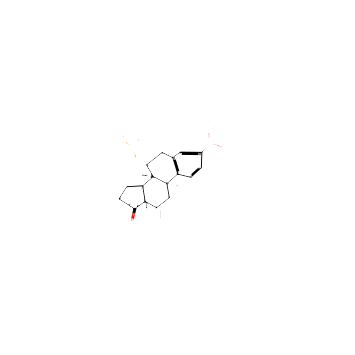 C[C@]12CC[C@@H]3c4ccc(B(O)O)cc4C[C@@H](C[S+]([O-])F)[C@H]3[C@@H]1CCC2=O